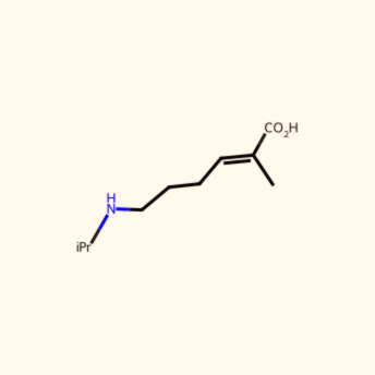 CC(=CCCCNC(C)C)C(=O)O